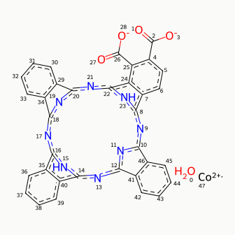 O.O=C([O-])c1ccc2c3nc4nc(nc5[nH]c(nc6nc(nc([nH]3)c2c1C(=O)[O-])-c1ccccc1-6)c1ccccc51)-c1ccccc1-4.[Co+2]